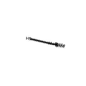 CO[Si](CCCCCCCCCCCCCCCCCCCCCCCCCCCCCCCS)(OC)OC